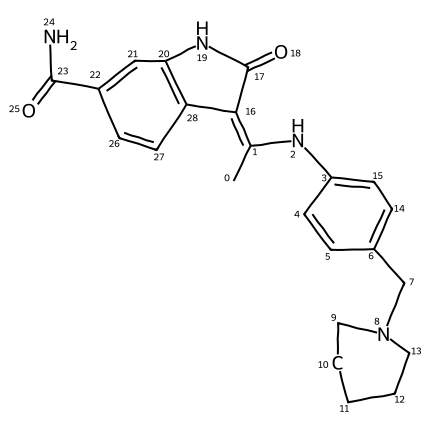 C/C(Nc1ccc(CN2CCCCC2)cc1)=C1/C(=O)Nc2cc(C(N)=O)ccc21